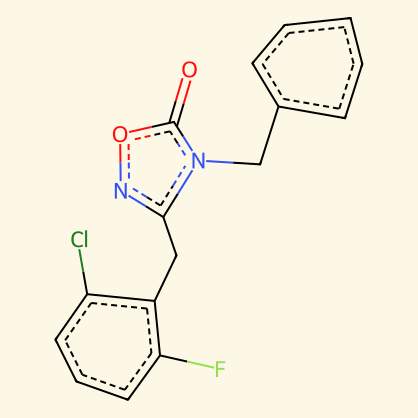 O=c1onc(Cc2c(F)cccc2Cl)n1Cc1ccccc1